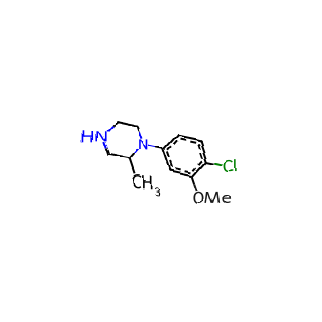 COc1cc(N2CCNCC2C)ccc1Cl